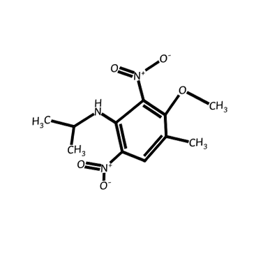 COc1c(C)cc([N+](=O)[O-])c(NC(C)C)c1[N+](=O)[O-]